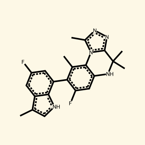 Cc1c(-c2cc(F)cc3c(C)c[nH]c23)c(F)cc2c1-n1c(C)nnc1C(C)(C)N2